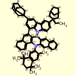 CCC1(c2ccc3c(c2)c2cc(C45CC6CC(CC(C6)C4)C5)cc4c2n3B2c3cc5ccccc5cc3N(c3cc5c(cc3C)C(C)(C)CCC5(C)C)c3c2c-4cc2ccccc32)CC2CCC(C2)C1